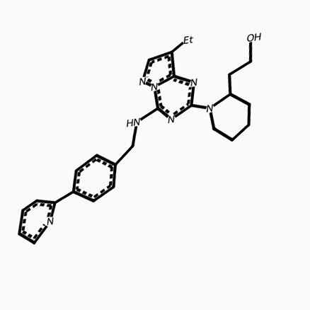 CCc1cnn2c(NCc3ccc(-c4ccccn4)cc3)nc(N3CCCCC3CCO)nc12